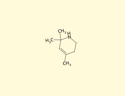 CC1=CC(C)(C)N[CH]C1